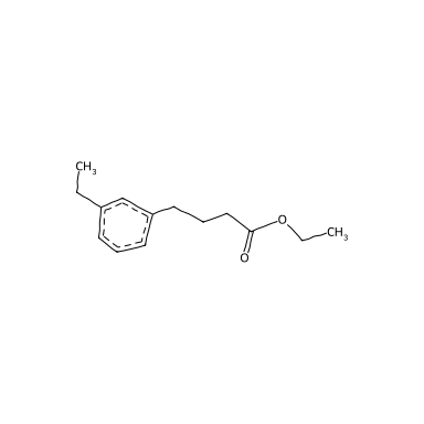 CCOC(=O)CCCc1cccc(CC)c1